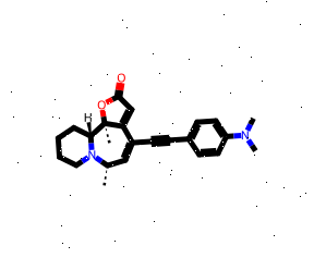 C[C@H]1C=C(C#Cc2ccc(N(C)C)cc2)C2=CC(=O)O[C@]2(C)[C@H]2CCCCN12